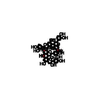 Oc1cc(O)c2c(c1)OC(c1ccc(O)c(O)c1)C(O)C2c1c(O)cc2c(c1O)C1c3c(cc(O)c4c3OC(c3ccc(O)c(O)c3)C(O)C4c3c(O)cc(O)c4c3OC(c3ccc(O)c(O)c3)C(O)C4)OC(c3ccc(O)c(O)c3)(O2)C1O